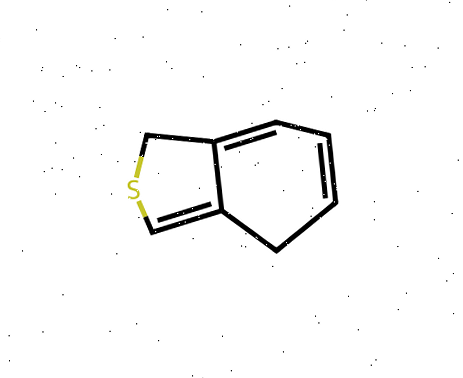 C1=CCC2=CSCC2=C1